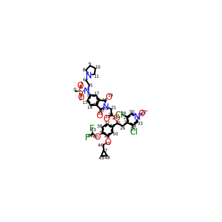 CS(=O)(=O)N(CCN1CCCC1)c1ccc2c(c1)C(=O)N(CC(=O)OC(Cc1c(Cl)c[n+]([O-])cc1Cl)c1ccc(OC(F)F)c(OCC3CC3)c1)C2=O